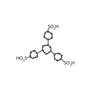 O=S(=O)(O)c1ccc(-c2cc(-c3ccc(S(=O)(=O)O)cc3)cc(-c3ccc(S(=O)(=O)O)cc3)c2)cc1